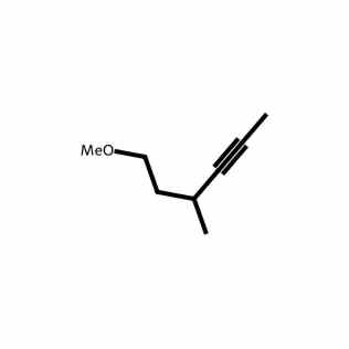 CC#CC(C)CCOC